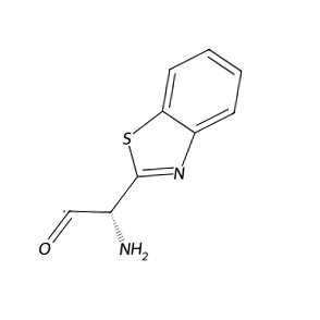 N[C@H]([C]=O)c1nc2ccccc2s1